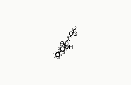 C=CC(=O)OCCCCOC(=O)C1(O)C=CC(c2ccccc2)=CC1